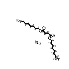 CC(C)CCCCCCCOC(=O)CCC(=O)OCCCCCCCC(C)C.[Na]